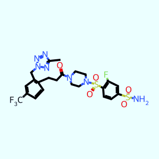 Cc1nnn(Cc2cc(C(F)(F)F)ccc2CCC(=O)N2CCN(S(=O)(=O)c3ccc(S(N)(=O)=O)cc3F)CC2)n1